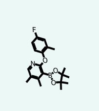 Cc1cc(F)ccc1Oc1ncc(C)c(C)c1B1OC(C)(C)C(C)(C)O1